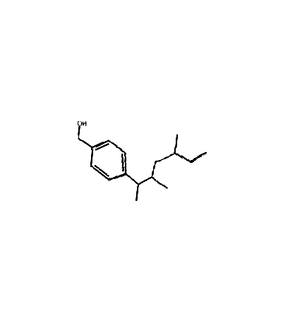 CCC(C)CC(C)C(C)c1ccc(CO)cc1